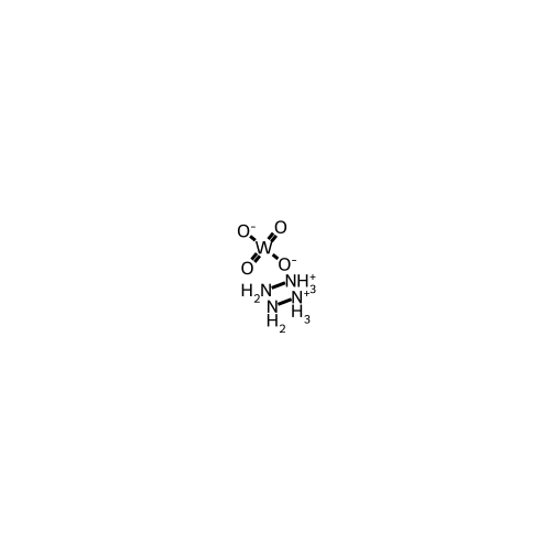 N[NH3+].N[NH3+].[O]=[W](=[O])([O-])[O-]